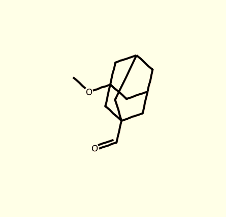 COC12CC3CC(CC(C=O)(C3)C1)C2